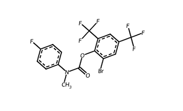 CN(C(=O)Oc1c(Br)cc(C(F)(F)F)cc1C(F)(F)F)c1ccc(F)cc1